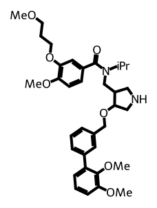 COCCCOc1cc(C(=O)N(CC2CNCC2OCc2cccc(-c3cccc(OC)c3OC)c2)C(C)C)ccc1OC